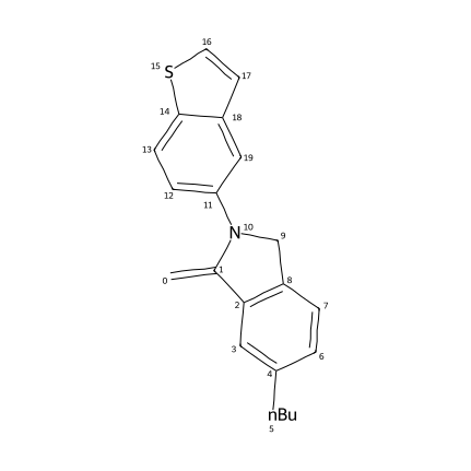 C=C1c2cc(CCCC)ccc2CN1c1ccc2sccc2c1